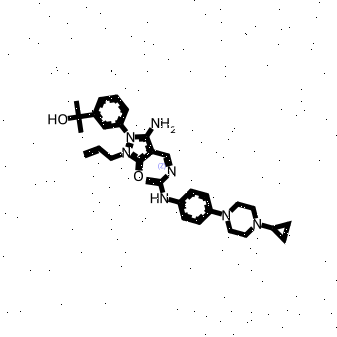 C=CCn1c(=O)c(/C=N\C(=C)Nc2ccc(N3CCN(C4CC4)CC3)cc2)c(N)n1-c1cccc(C(C)(C)O)c1